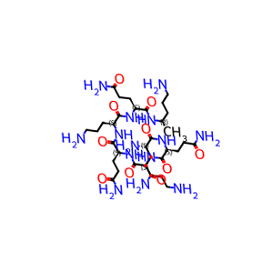 C[C@H](CCCN)NC(=O)[C@H](CCC(N)=O)NC(=O)[C@H](CCCN)NC(=O)[C@H](CCC(N)=O)NC(=O)[C@H](CCCN)NC(=O)[C@H](CCC(N)=O)NC(=O)[C@@H](N)CCC(N)=O